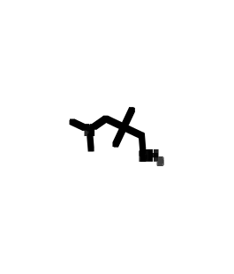 CN(C)CC(C)(C)C[SiH3]